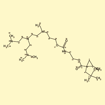 CC1CC1(CC(C)(C)C)C(=O)OCCNC(=O)OCCCN(C)CCN(CCN(C)C)CCN(C)C